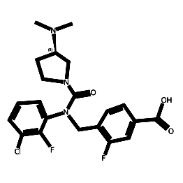 CN(C)[C@@H]1CCN(C(=O)N(Cc2ccc(C(=O)O)cc2F)c2cccc(Cl)c2F)C1